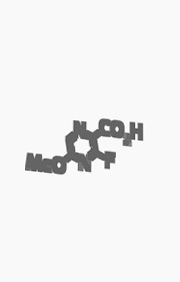 COc1cnc(C(=O)O)c(F)n1